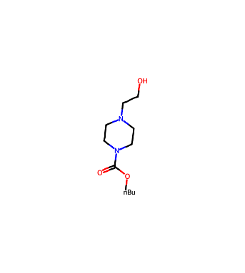 [CH2]CCCOC(=O)N1CCN(CCO)CC1